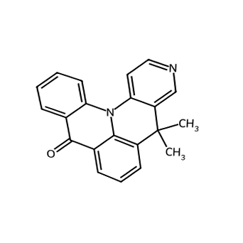 CC1(C)c2cnccc2-n2c3ccccc3c(=O)c3cccc1c32